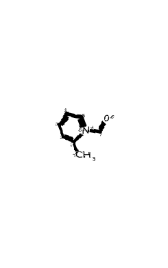 Cc1cccc[n+]1C=O